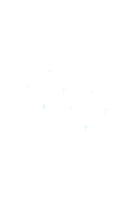 CP(P(C)C(F)(F)F)C(F)(F)F